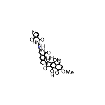 COC1=CC(=O)c2c(O)c3c(c(O)c2C1=O)C(=O)[C@]1(CCc2cc4cc(/C=N/NC(=O)c5ccncc5Cl)[nH]c(=O)c4c(O)c21)C3=O